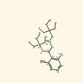 CCC(CC)(CC)CNCC(O[Si](CC)(CC)CC)c1c(Cl)cncc1Cl